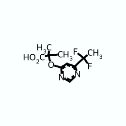 CC(C)(Oc1cc(C(C)(F)F)ncn1)C(=O)O